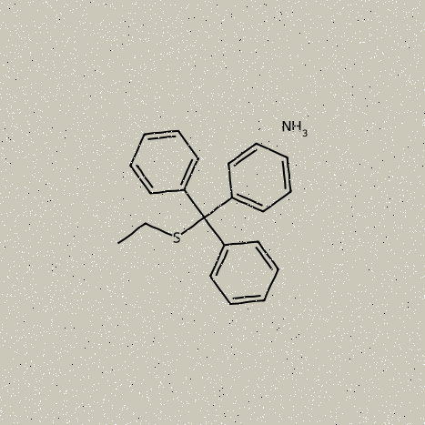 CCSC(c1ccccc1)(c1ccccc1)c1ccccc1.N